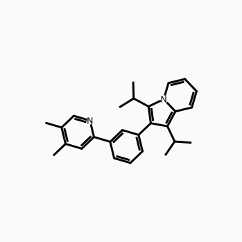 Cc1cnc(-c2cccc(-c3c(C(C)C)c4ccccn4c3C(C)C)c2)cc1C